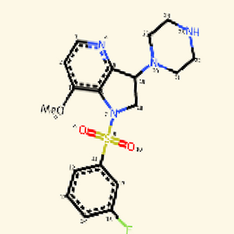 COc1ccnc2c1N(S(=O)(=O)c1cccc(F)c1)CC2N1CCNCC1